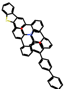 c1ccc(-c2ccc(-c3ccc(N(c4ccccc4-c4ccc5sc6ccccc6c5c4)c4ccccc4-c4ccccc4-c4cccc5ccccc45)cc3)cc2)cc1